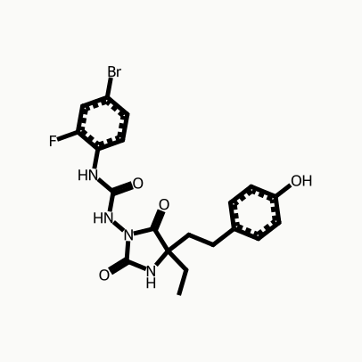 CCC1(CCc2ccc(O)cc2)NC(=O)N(NC(=O)Nc2ccc(Br)cc2F)C1=O